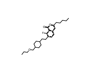 CCCCCc1cc2ccc(CCC3CCC(COCCC)CC3)c(F)c2c(=O)o1